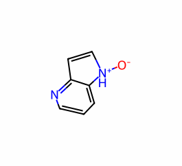 [O-][NH+]1C=Cc2ncccc21